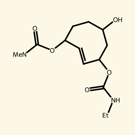 CCNC(=O)OC1/C=C/C(OC(=O)NC)CCC(O)C1